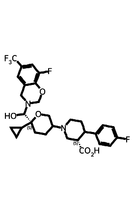 O=C(O)[C@@H]1CN(C2CC[C@](C3CC3)(C(O)N3COc4c(F)cc(C(F)(F)F)cc4C3)OC2)CCC1c1ccc(F)cc1